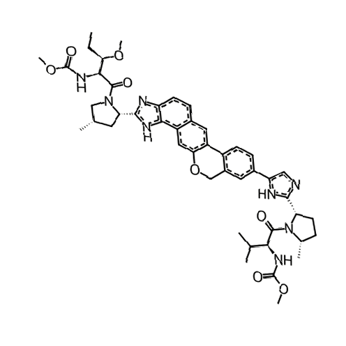 CC[C@@H](OC)[C@H](NC(=O)OC)C(=O)N1C[C@@H](C)C[C@H]1c1nc2ccc3cc4c(cc3c2[nH]1)OCc1cc(-c2cnc([C@@H]3CC[C@H](C)N3C(=O)[C@@H](NC(=O)OC)C(C)C)[nH]2)ccc1-4